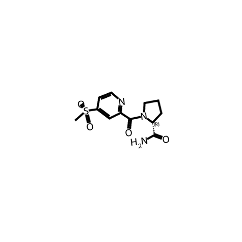 CS(=O)(=O)c1ccnc(C(=O)N2CCC[C@@H]2C(N)=O)c1